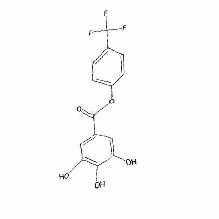 O=C(Oc1ccc(C(F)(F)F)cc1)c1cc(O)c(O)c(O)c1